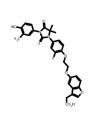 CCOC(=O)Cc1coc2ccc(OCCOc3ccc(N4C(=S)N(c5ccc(C#N)c(C(F)(F)F)c5)C(=O)C4(C)C)cc3F)cc12